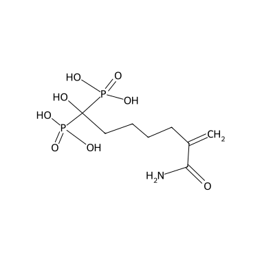 C=C(CCCCC(O)(P(=O)(O)O)P(=O)(O)O)C(N)=O